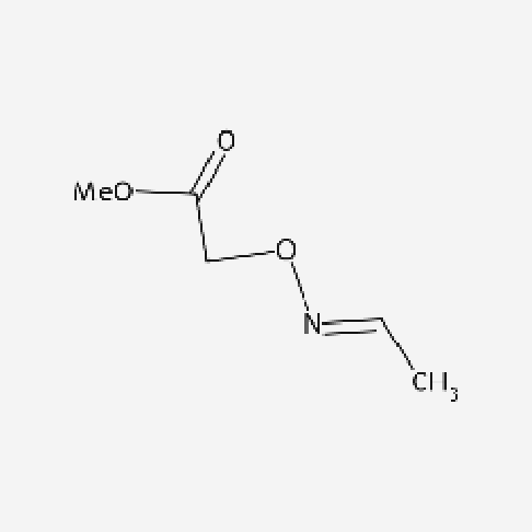 CC=NOCC(=O)OC